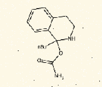 CCCCC1(OC(N)=O)NCCc2ccccc21